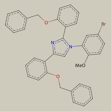 COc1ccc(Br)cc1-n1cc(-c2ccccc2OCc2ccccc2)nc1-c1ccccc1OCc1ccccc1